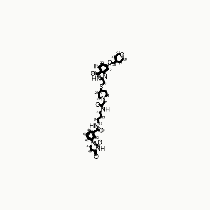 O=C(CN1CCC(SCc2nc3cc(OCC4CCOCC4)cc(F)c3c(=O)[nH]2)CC1)NCCCCNC(=O)c1cccc(N2CCC(=O)NC2=O)c1